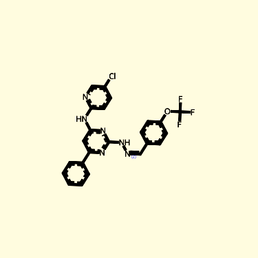 FC(F)(F)Oc1ccc(/C=N\Nc2nc(Nc3ccc(Cl)cn3)cc(-c3ccccc3)n2)cc1